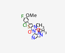 COc1cc(-c2cc3c(s2)c(=O)n(-c2cncc4cnn(C)c24)c(=O)n3C)c(Cl)cc1F